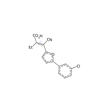 CC/C(C(=O)O)=C(/C#N)c1ccc(-c2cccc(Cl)c2)o1